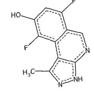 Cc1n[nH]c2ncc3c(F)cc(O)c(F)c3c12